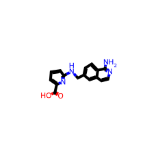 Nc1nccc2cc(CNc3cccc(C(=O)O)n3)ccc12